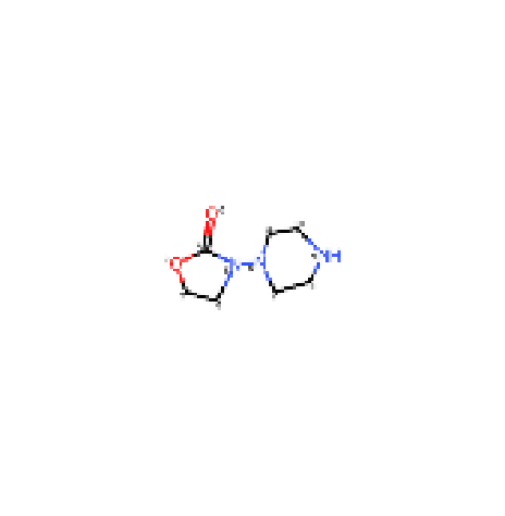 O=C1OCCN1N1CCNCC1